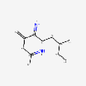 C=C(CC(C)=N)C(=N)CCC(C)CC